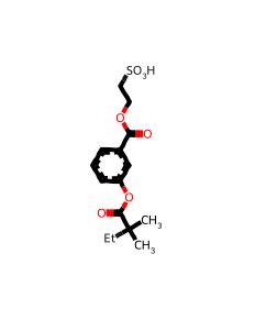 CCC(C)(C)C(=O)Oc1cccc(C(=O)OCCS(=O)(=O)O)c1